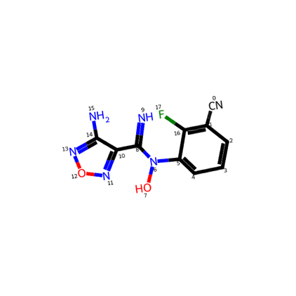 N#Cc1cccc(N(O)C(=N)c2nonc2N)c1F